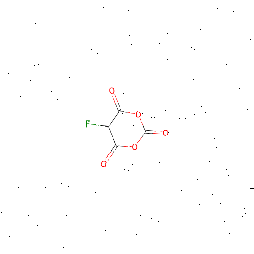 O=C1OC(=O)C(F)C(=O)O1